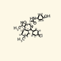 Cc1noc2c1C1=C(C=CC(C)C=C1)C(c1ccc(Cl)cc1)=N[C@H]2CC(=O)Nc1ccc(O)cc1